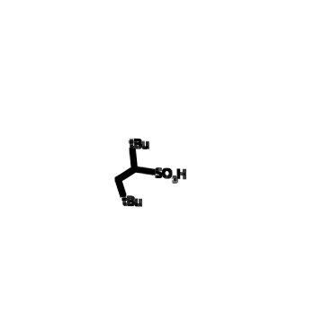 CC(C)(C)CC(C(C)(C)C)S(=O)(=O)O